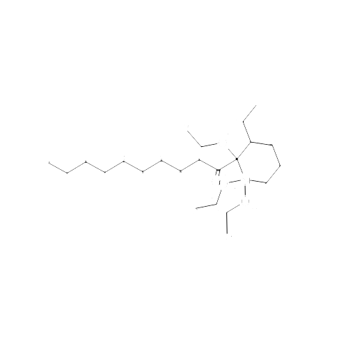 CCCCCCCCCC(=O)C1(OCC)C(CC)CCC[Si]1(OCC)OCC